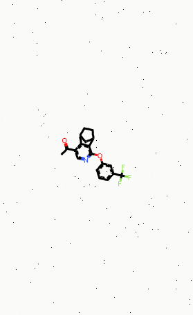 CC(=O)c1cnc(Oc2cccc(C(F)(F)F)c2)c2c1C1CCC2C1